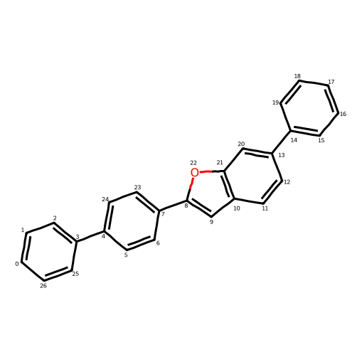 c1ccc(-c2ccc(-c3cc4ccc(-c5ccccc5)cc4o3)cc2)cc1